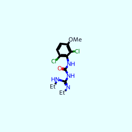 CCN=C(NCC)NC(=O)Nc1c(Cl)ccc(OC)c1Cl